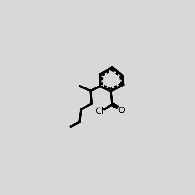 CCCCC(C)c1ccccc1C(=O)Cl